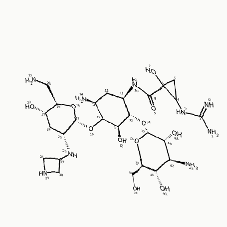 N=C(N)NC1CC1(O)C(=O)N[C@@H]1C[C@H](N)C(O[C@H]2O[C@H](CN)[C@@H](O)C[C@H]2NC2CNC2)[C@H](O)[C@H]1O[C@H]1O[C@H](CO)[C@@H](O)[C@H](N)[C@H]1O